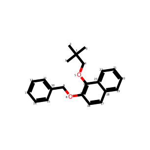 CC(C)(C)COc1c(OCc2ccccc2)ccc2ccccc12